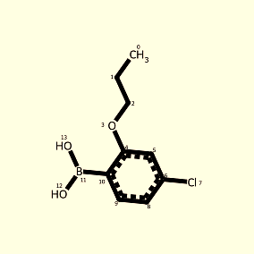 CCCOc1cc(Cl)ccc1B(O)O